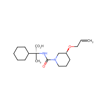 C=CCO[C@H]1CCCN(C(=O)N[C@](C)(C(=O)O)C2CCCCC2)C1